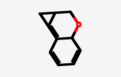 C1=CC2=C3CC3COC2C=C1